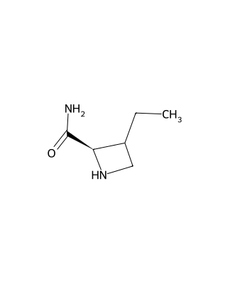 CCC1CN[C@H]1C(N)=O